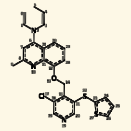 C=CN(/C=C\C)c1cc(C)nc2c(OCc3c(Cl)cncc3Sc3cccs3)cccc12